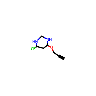 C#CCOC1CC(Cl)NCN1